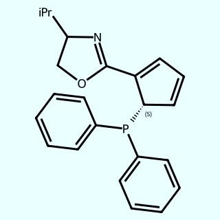 CC(C)C1COC(C2=CC=C[C@@H]2P(c2ccccc2)c2ccccc2)=N1